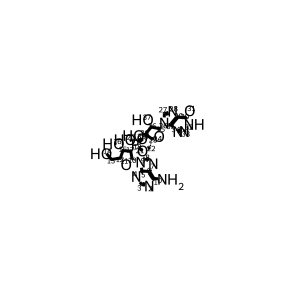 Nc1ncnc2c1ncn2[C@@H]1OC(CO)[C@@H](O)[C@H]1P(=O)(O)OC[C@H]1O[C@@H](n2cnc3c(=O)[nH]nnc32)[C@H](O)[C@@H]1O